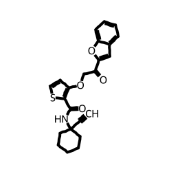 C#CC1(NC(=O)c2sccc2OCC(=O)c2cc3ccccc3o2)CCCCC1